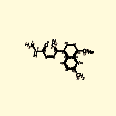 C=C(/C=C\C(=O)NN)C1=c2ccc(C)nc2=C(OC)CC1